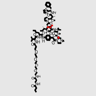 CCCCC(NC(=O)[C@@H](NC(=O)CCOCCOCCOCCOCCNC(=O)CCNC(=O)CCC)C(C)C)C(=O)Nc1ccc(C(OC(=O)N(C)[C@H](C(=O)NC(C(=O)N(C)[C@@H]([C@@H](C)CC)[C@@H](CC(=O)N2CCC[C@H]2[C@H](OC)[C@@H](C)C(=O)N[C@@H](Cc2ccccc2)c2nccs2)OC)C(C)C)C(C)C)C(=O)N2CCN(C)CC2)cc1